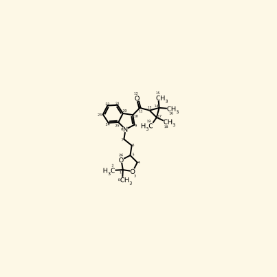 CC1(C)OCC(CCn2cc(C(=O)C3C(C)(C)C3(C)C)c3ccccc32)O1